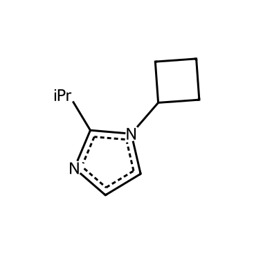 CC(C)c1nccn1C1CCC1